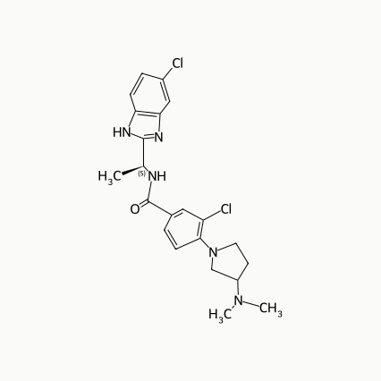 C[C@H](NC(=O)c1ccc(N2CCC(N(C)C)C2)c(Cl)c1)c1nc2cc(Cl)ccc2[nH]1